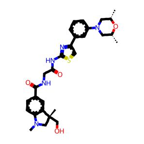 C[C@@H]1CN(c2cccc(-c3csc(NC(=O)CNC(=O)c4ccc5c(c4)[C@](C)(CO)CN5C)n3)c2)C[C@H](C)O1